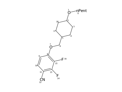 CCCCCOC1CCC(COc2ccc(C#N)c(F)c2F)CC1